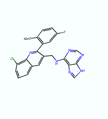 COc1ccc(F)cc1-c1nc2c(Cl)cccc2cc1CNc1ncnc2[nH]cnc12